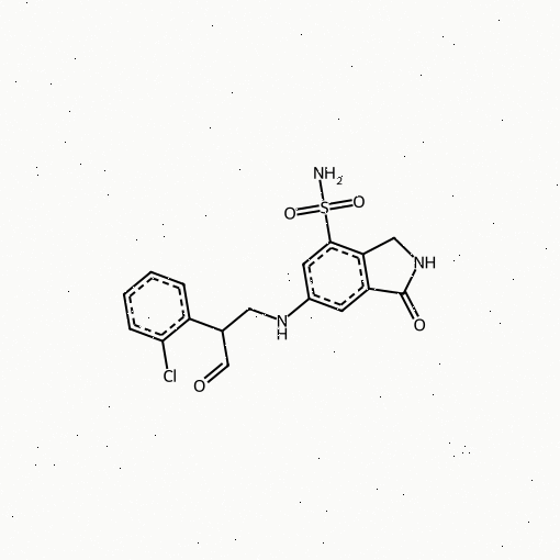 NS(=O)(=O)c1cc(NCC(C=O)c2ccccc2Cl)cc2c1CNC2=O